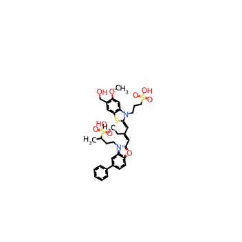 CCC(=Cc1oc2ccc(-c3ccccc3)cc2[n+]1CCC(C)S(=O)(=O)O)/C=C1\Sc2cc(CO)c(OC)cc2N1CCCS(=O)(=O)O